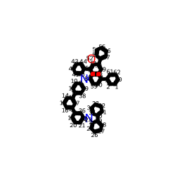 c1ccc(-c2ccc(N(c3ccc(-c4cccc(-c5cccc(-n6c7ccccc7c7ccccc76)c5)c4)cc3)c3ccccc3-c3cccc4c3oc3ccccc34)cc2)cc1